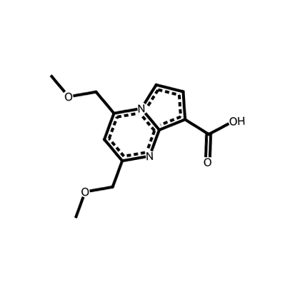 COCc1cc(COC)n2ccc(C(=O)O)c2n1